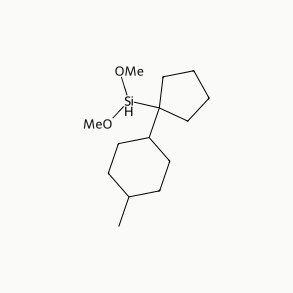 CO[SiH](OC)C1(C2CCC(C)CC2)CCCC1